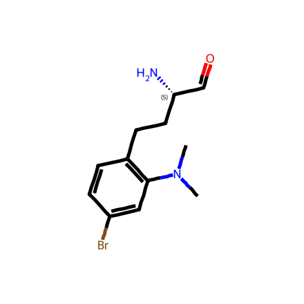 CN(C)c1cc(Br)ccc1CC[C@H](N)C=O